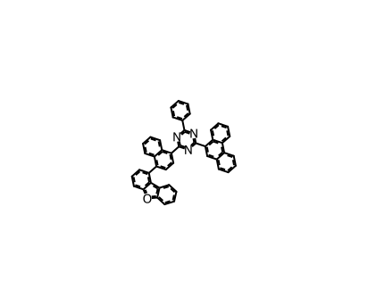 c1ccc(-c2nc(-c3ccc(-c4cccc5oc6ccccc6c45)c4ccccc34)nc(-c3cc4ccccc4c4ccccc34)n2)cc1